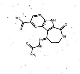 NC(=O)NN=C1CCNC(=O)c2[nH]c3ccc(C(=O)O)cc3c21